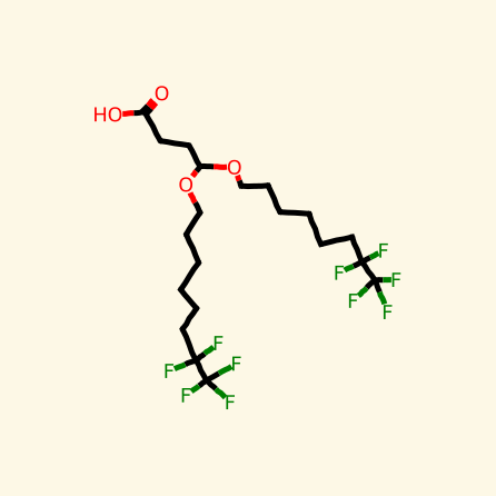 O=C(O)CCC(OCCCCCCC(F)(F)C(F)(F)F)OCCCCCCC(F)(F)C(F)(F)F